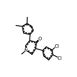 Cc1ccc(-c2cn(C)cc(-c3ccc(Cl)c(Cl)c3)c2=O)cc1C